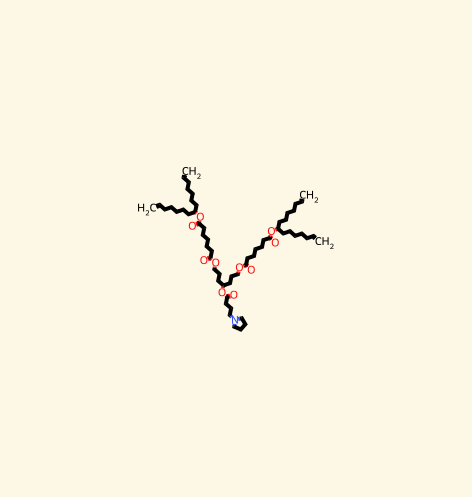 C=CCCCCCC(CCCCCC=C)OC(=O)CCCCCC(=O)OCCCC(CCCOC(=O)CCCCCC(=O)OC(CCCCCC=C)CCCCCC=C)OC(=O)CCCN1CCCC1